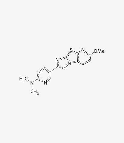 COc1ccc2c(n1)sc1nc(-c3ccc(N(C)C)nc3)cn12